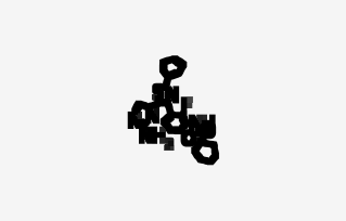 Nc1nccc(-c2sc(-c3ccccc3)nc2-c2cccc(NS(=O)(=O)C3CCCCC3)c2F)n1